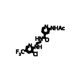 CC(=O)Nc1cc(C(=O)NCCNc2ncc(C(F)(F)F)cc2Cl)ccn1